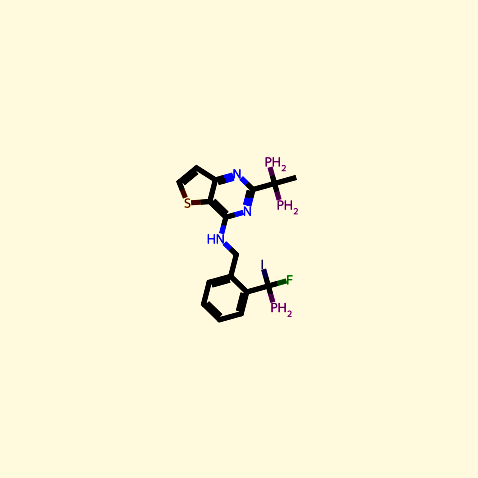 CC(P)(P)c1nc(NCc2ccccc2C(F)(P)I)c2sccc2n1